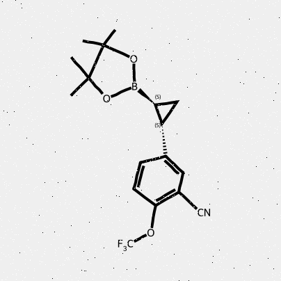 CC1(C)OB([C@H]2C[C@@H]2c2ccc(OC(F)(F)F)c(C#N)c2)OC1(C)C